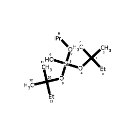 CCC(C)(C)O[Si](O)(OC(C)C)OC(C)(C)CC